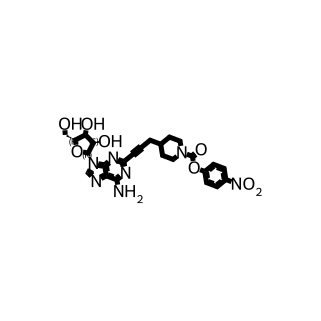 Nc1nc(C#CCC2CCN(C(=O)Oc3ccc([N+](=O)[O-])cc3)CC2)nc2c1ncn2[C@@H]1O[C@H](CO)C(O)[C@@H]1O